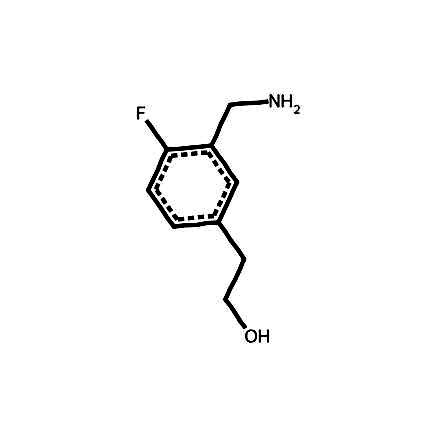 NCc1cc(CCO)ccc1F